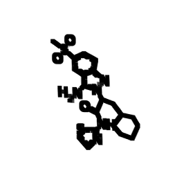 CS(=O)(=O)c1ccc2nn(C(CC3CCCCC3)C(=O)Nc3nccs3)c(N)c2c1